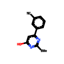 CSc1nc(O)cc(-c2cccc(C#N)c2)n1